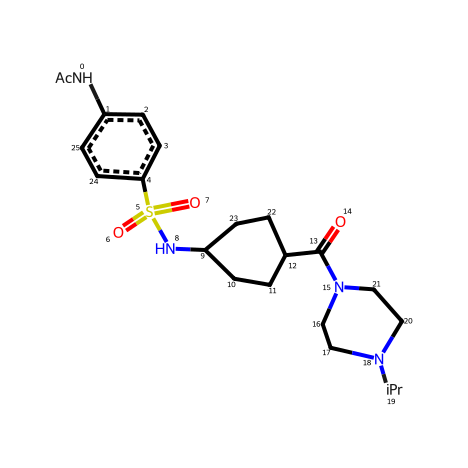 CC(=O)Nc1ccc(S(=O)(=O)NC2CCC(C(=O)N3CCN(C(C)C)CC3)CC2)cc1